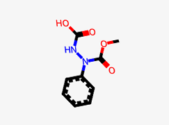 COC(=O)N(NC(=O)O)c1ccccc1